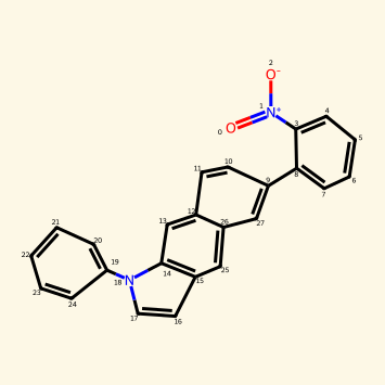 O=[N+]([O-])c1ccccc1-c1ccc2cc3c(ccn3-c3ccccc3)cc2c1